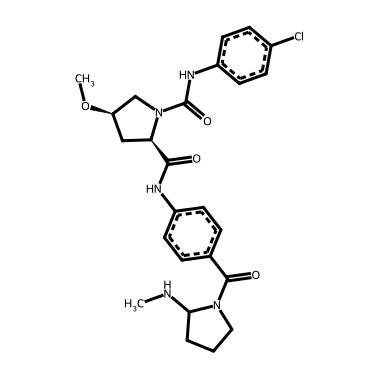 CNC1CCCN1C(=O)c1ccc(NC(=O)[C@H]2C[C@@H](OC)CN2C(=O)Nc2ccc(Cl)cc2)cc1